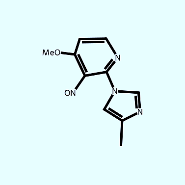 COc1ccnc(-n2cnc(C)c2)c1N=O